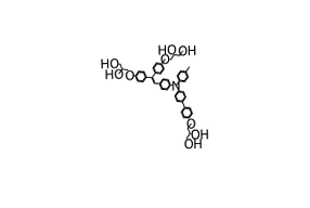 Cc1ccc(N(c2ccc(C=C(c3ccc(OCC(O)CO)cc3)c3ccc(OCC(O)CO)cc3)cc2)c2ccc(-c3ccc(OCC(O)CO)cc3)cc2)cc1